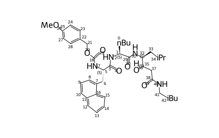 CCCC[C@H](NC(=O)[C@H](Cc1cccc2ccccc12)NC(=O)OCc1ccc(OC)cc1)C(=O)N[C@@H](CC(C)C)[C@@H](O)CC(=O)NCC(C)CC